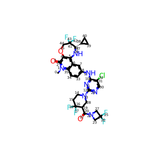 Cn1c(=O)c2c(c3cc(Nc4nc(N5CCC(F)(F)C(C(=O)N6CC(F)(F)C6)C5)ncc4Cl)ccc31)N[C@@H](C1CC1)C(F)(F)CO2